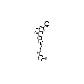 Cc1ccc(NCCCN2CC3CN(C(=O)c4c(C)nc(-c5ccccc5)nc4C)CC3C2)cc1Cl